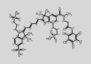 CN(OCC(=O)Oc1c(Cl)c(Cl)c(Cl)c(Cl)c1Cl)C(=O)c1cc2c([n+](CCCS(=O)(=O)O)c1)N=C(/C=C/C=C/C=C1/N(CCCS(=O)(=O)O)c3ccc(S(=O)(=O)O)cc3C1(C)C)C2(C)C